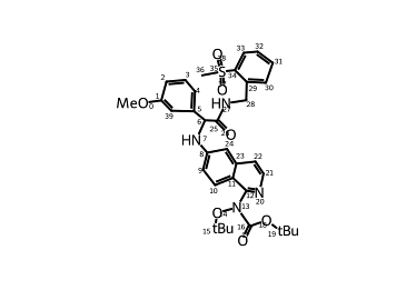 COc1cccc(C(Nc2ccc3c(N(OC(C)(C)C)C(=O)OC(C)(C)C)nccc3c2)C(=O)NCc2ccccc2S(C)(=O)=O)c1